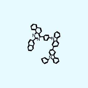 c1ccc(-n2c3ccccc3c3cc(-c4ccc5c6ccccc6n(-c6ccc(-c7nc(-c8ccc9ccccc9c8)nc8c7ccc7ccccc78)cc6)c5c4)ccc32)cc1